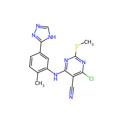 CSc1nc(Cl)c(C#N)c(Nc2cc(-c3nnc[nH]3)ccc2C)n1